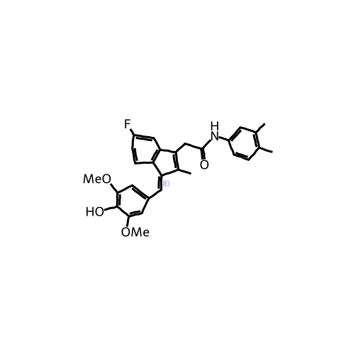 COc1cc(/C=C2/C(C)=C(CC(=O)Nc3ccc(C)c(C)c3)c3cc(F)ccc32)cc(OC)c1O